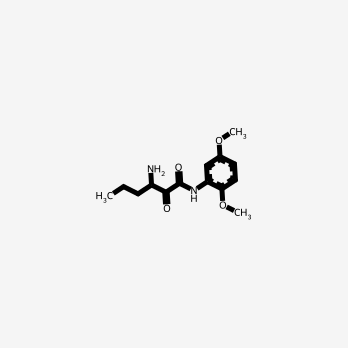 CCCC(N)C(=O)C(=O)Nc1cc(OC)ccc1OC